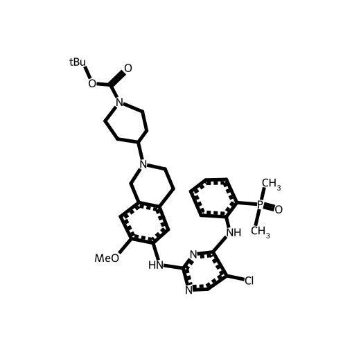 COc1cc2c(cc1Nc1ncc(Cl)c(Nc3ccccc3P(C)(C)=O)n1)CCN(C1CCN(C(=O)OC(C)(C)C)CC1)C2